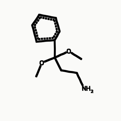 COC(CCN)(OC)c1ccccc1